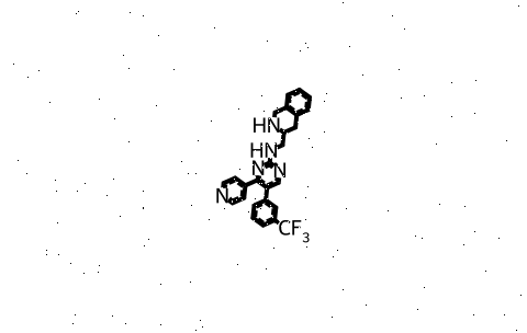 FC(F)(F)c1cccc(-c2cnc(NCC3Cc4ccccc4CN3)nc2-c2ccncc2)c1